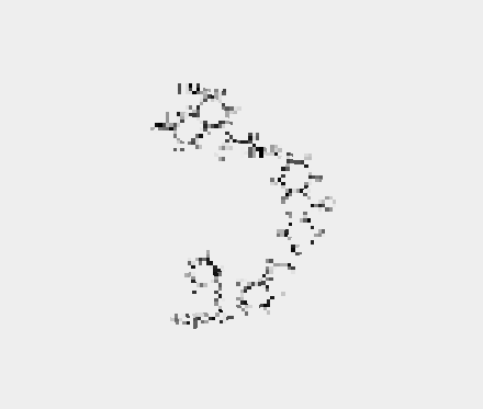 O=C(O)N[C@@H](c1ccccc1)c1cccc(OCC2CCN(C(=O)c3ccc(CNC[C@H](O)c4ccc(O)c5[nH]c(=O)ccc45)cc3)CC2)c1